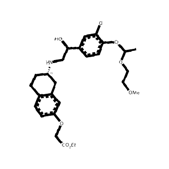 CCOC(=O)COc1ccc2c(c1)C[C@@H](NCC(O)c1ccc(OC(C)OCCOC)c(Cl)c1)CC2